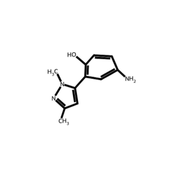 Cc1cc(-c2cc(N)ccc2O)n(C)n1